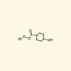 CCCc1ccc(C(=O)OO[C](C)C)cc1